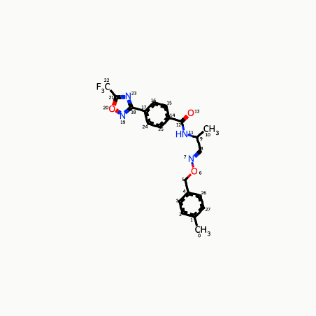 Cc1ccc(CON=CC(C)NC(=O)c2ccc(-c3noc(C(F)(F)F)n3)cc2)cc1